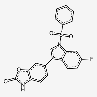 O=c1[nH]c2ccc(-c3cn(S(=O)(=O)c4ccccc4)c4cc(F)ccc34)cc2o1